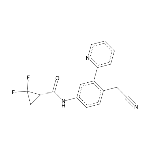 N#CCc1ccc(NC(=O)[C@@H]2CC2(F)F)cc1-c1ccccn1